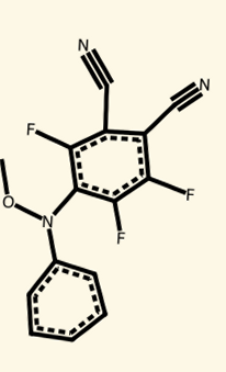 CON(c1ccccc1)c1c(F)c(F)c(C#N)c(C#N)c1F